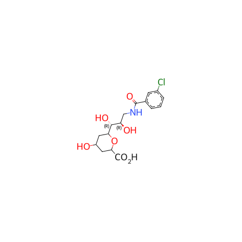 O=C(NC[C@@H](O)[C@@H](O)C1CC(O)CC(C(=O)O)O1)c1cccc(Cl)c1